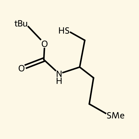 CSCCC(CS)NC(=O)OC(C)(C)C